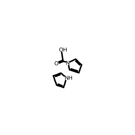 O=C(O)n1cccc1.c1cc[nH]c1